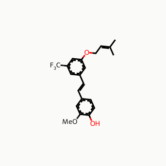 COc1cc(C=Cc2cc(OCC=C(C)C)cc(C(F)(F)F)c2)ccc1O